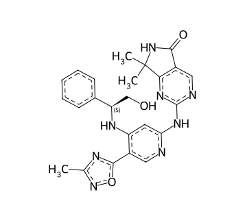 Cc1noc(-c2cnc(Nc3ncc4c(n3)C(C)(C)NC4=O)cc2N[C@H](CO)c2ccccc2)n1